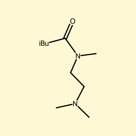 CCC(C)C(=O)N(C)CCN(C)C